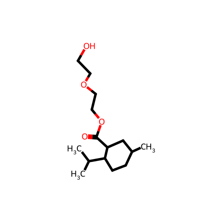 CC1CCC(C(C)C)C(C(=O)OCCOCCO)C1